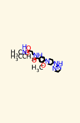 COc1cc(C(=O)NCCC(=O)ONC(C)(C)C)ccc1N1CCC(Nc2ncccn2)CC1